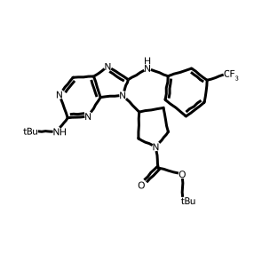 CC(C)(C)Nc1ncc2nc(Nc3cccc(C(F)(F)F)c3)n(C3CCN(C(=O)OC(C)(C)C)C3)c2n1